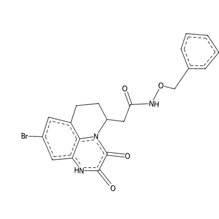 O=C(CC1CCc2cc(Br)cc3[nH]c(=O)c(=O)n1c23)NOCc1ccccc1